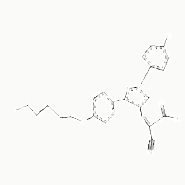 CCCCCCOc1ccc(-c2nn(-c3ccc(Cl)cc3)cc2/C=C(/C#N)C(=O)O)cc1